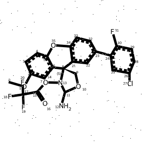 COc1ccc2c(c1)[C@]1(COC(N)N1OC(=O)C(F)(F)F)c1cc(-c3cc(Cl)ccc3F)ccc1O2